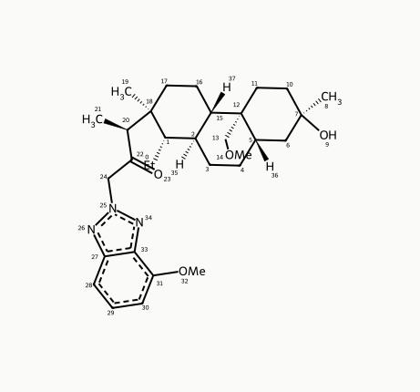 CC[C@H]1[C@@H]2CC[C@H]3C[C@](C)(O)CC[C@]3(COC)[C@H]2CC[C@]1(C)[C@H](C)C(=O)Cn1nc2cccc(OC)c2n1